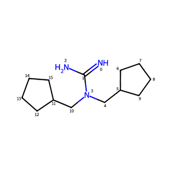 N=C(N)N(CC1CCCC1)CC1CCCC1